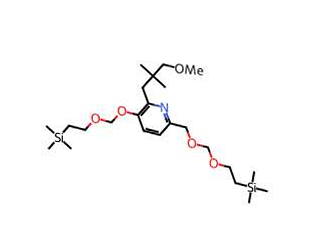 COCC(C)(C)Cc1nc(COCOCC[Si](C)(C)C)ccc1OCOCC[Si](C)(C)C